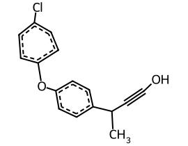 CC(C#CO)c1ccc(Oc2ccc(Cl)cc2)cc1